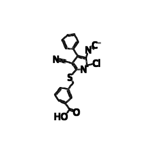 [C-]#[N+]c1c(Cl)nc(SCc2cccc(C(=O)O)c2)c(C#N)c1-c1ccccc1